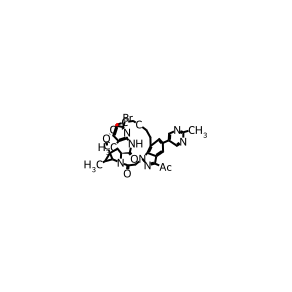 CC(=O)c1nn2c3c(cc(-c4cnc(C)nc4)cc13)CCCCCCCOC[C@@]13C[C@@H](C(=O)Nc4nc(Br)ccc4C)N(C(=O)C2)C1C3C